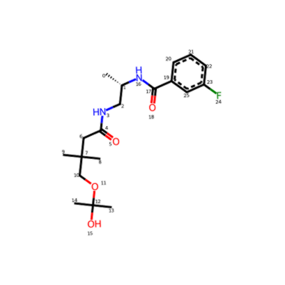 C[C@@H](CNC(=O)CC(C)(C)COC(C)(C)O)NC(=O)c1cccc(F)c1